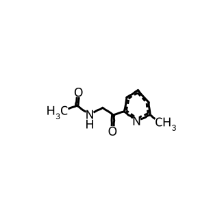 CC(=O)NCC(=O)c1cccc(C)n1